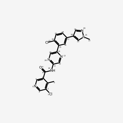 Cc1c(Cl)cncc1C(=O)Nc1cnc(-c2cc(-c3cnn(C)c3)ccc2Cl)cn1